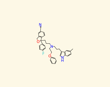 Cc1ccc2[nH]cc(CCCN(CCCC3(c4ccc(F)cc4)OCc4cc(C#N)ccc43)CCOc3ccccc3)c2c1